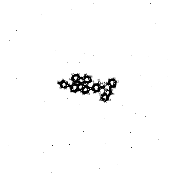 CC1=CC=C(C2=CC=C3c4ccc(C5=CC=C(C6NC7=C(C=CCC7)c7cc8ccccc8n76)[C@H](C)C5)cc4C4(C5=C(CCC=C5)c5ccccc54)C3C2)CC1